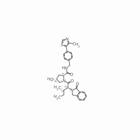 CC[C@H](C)[C@@H](C(=O)N1C[C@H](O)C[C@H]1C(=O)NCc1ccc(-c2scnc2C)cc1)N1Cc2ccccc2C1=O